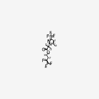 Cc1cc(C(F)(F)F)nn1C(C)(C)C(=O)OCCC(F)=C(F)F